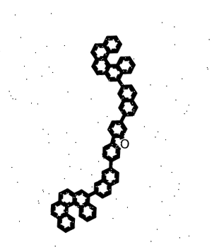 c1ccc2c(c1)ccc1ccc3cc(-c4ccc5ccc(-c6ccc7c(c6)oc6cc(-c8ccc9ccc(-c%10cc%11ccc%12ccc%13ccccc%13c%12c%11c%11ccccc%10%11)cc9c8)ccc67)cc5c4)c4ccccc4c3c12